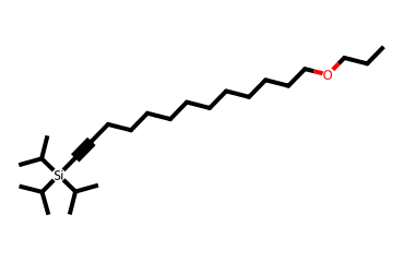 CCCOCCCCCCCCCCCC#C[Si](C(C)C)(C(C)C)C(C)C